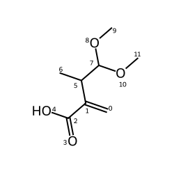 C=C(C(=O)O)C(C)C(OC)OC